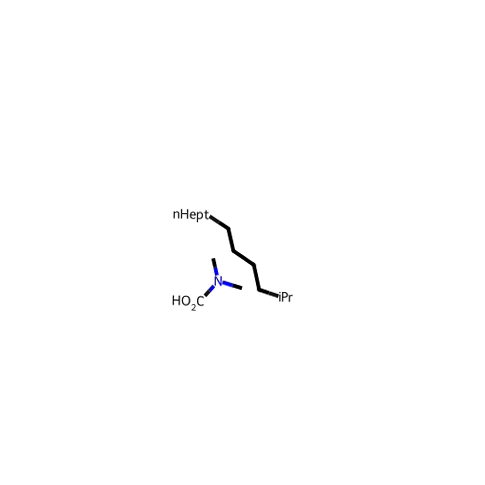 CCCCCCCCCCCC(C)C.CN(C)C(=O)O